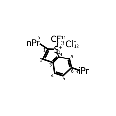 CCCc1cc2ccc(C(C)C)cc2[s+]1C(F)(F)F.[Cl-]